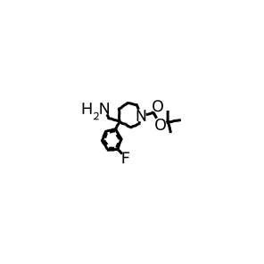 CC(C)(C)OC(=O)N1CCCC(CN)(c2cccc(F)c2)CC1